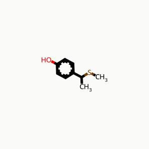 CSC(C)c1ccc(O)cc1